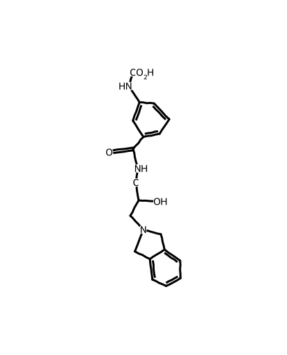 O=C(O)Nc1cccc(C(=O)NCC(O)CN2Cc3ccccc3C2)c1